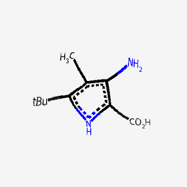 Cc1c(C(C)(C)C)[nH]c(C(=O)O)c1N